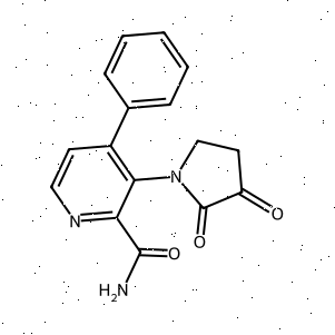 NC(=O)c1nccc(-c2ccccc2)c1N1CCC(=O)C1=O